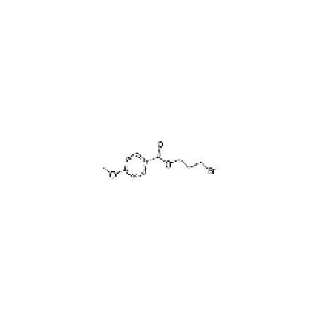 COc1ccc(C(=O)OCCCBr)cc1